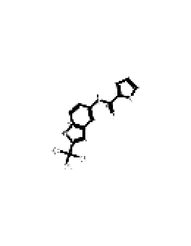 CC(C)(C)c1cc2cc(NC(=O)c3cccs3)ccc2[nH]1